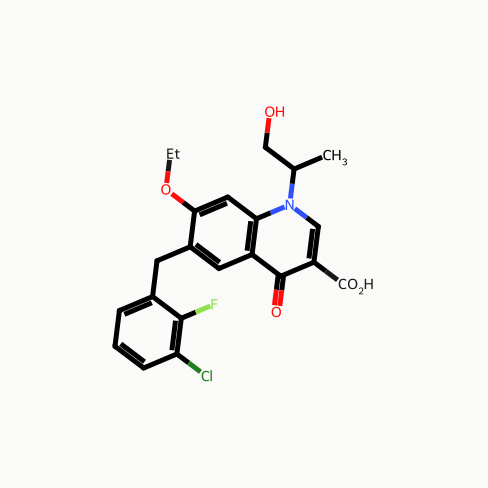 CCOc1cc2c(cc1Cc1cccc(Cl)c1F)c(=O)c(C(=O)O)cn2C(C)CO